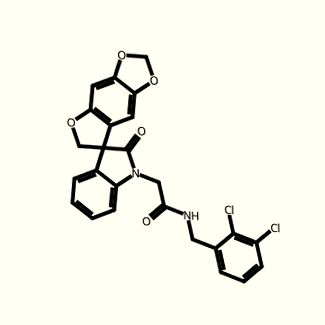 O=C(CN1C(=O)C2(COc3cc4c(cc32)OCO4)c2ccccc21)NCc1cccc(Cl)c1Cl